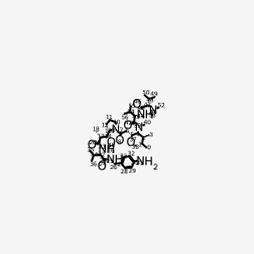 CC[C@H](C)[C@@H]([C@@H](CC(=O)N1CCC[C@H]1[C@H](OC)[C@@H](C)C(=O)N[C@H](C(=O)NCc1ccc(N)cc1)C(C)C)OC)N(C)C(=O)[C@@H](NC(=O)[C@H](C(C)C)N(C)C)C(C)C